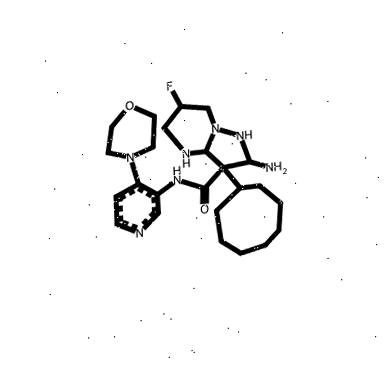 NC1NN2CC(F)CNC2C1(C(=O)Nc1cnccc1N1CCOCC1)C1CCCCCCC1